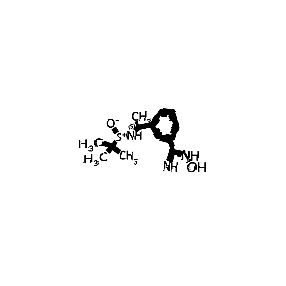 C[C@H](N[S+]([O-])C(C)(C)C)c1cccc(C(=N)NO)c1